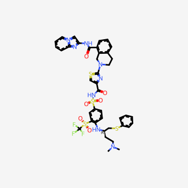 CN(C)CC[C@H](CSc1ccccc1)Nc1ccc(S(=O)(=O)NC(=O)c2csc(N3CCc4cccc(C(=O)Nc5cn6ccccc6n5)c4C3)n2)cc1S(=O)(=O)C(F)(F)F